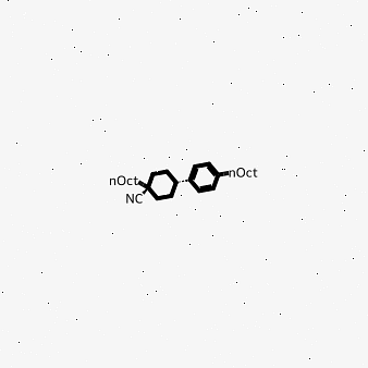 CCCCCCCCc1ccc([C@H]2CC[C@@](C#N)(CCCCCCCC)CC2)cc1